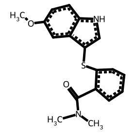 COc1ccc2[nH]cc(Sc3ccccc3C(=O)N(C)C)c2c1